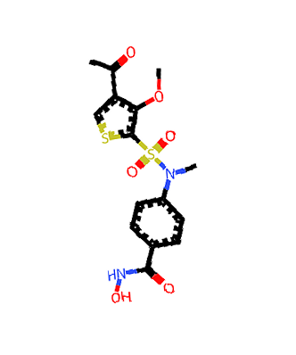 COc1c(C(C)=O)csc1S(=O)(=O)N(C)c1ccc(C(=O)NO)cc1